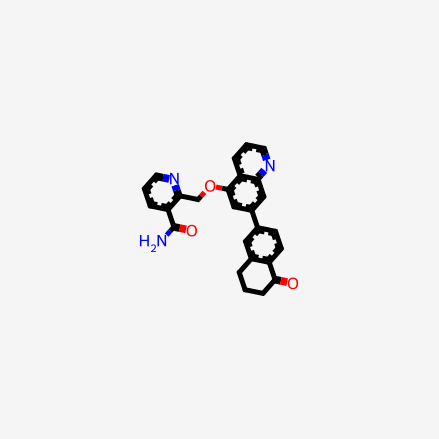 NC(=O)c1cccnc1COc1cc(-c2ccc3c(c2)CCCC3=O)cc2ncccc12